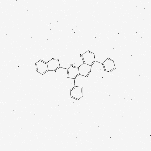 c1ccc(-c2ccnc3c2ccc2c(-c4ccccc4)cc(-c4ccc5ccccc5n4)nc23)cc1